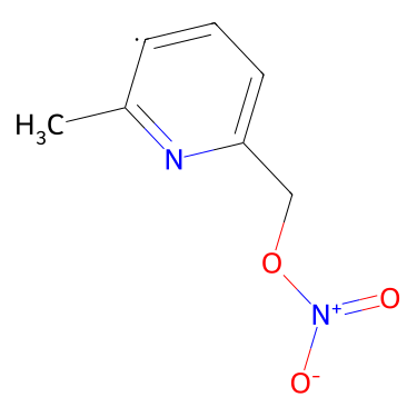 Cc1[c]ccc(CO[N+](=O)[O-])n1